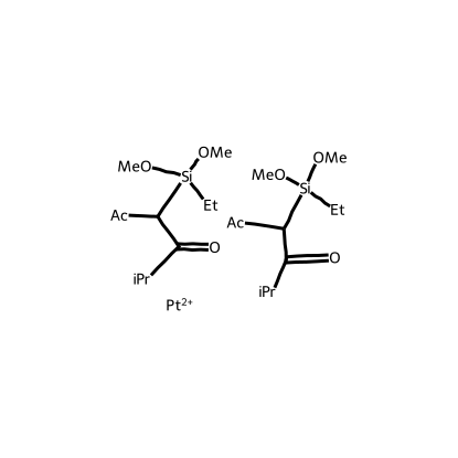 CC[Si](OC)(OC)C(C(C)=O)C(=O)C(C)C.CC[Si](OC)(OC)C(C(C)=O)C(=O)C(C)C.[Pt+2]